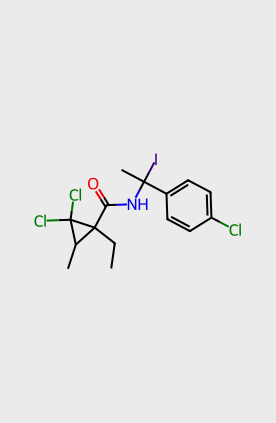 CCC1(C(=O)NC(C)(I)c2ccc(Cl)cc2)C(C)C1(Cl)Cl